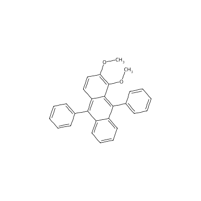 COc1ccc2c(-c3ccccc3)c3ccccc3c(-c3ccccc3)c2c1OC